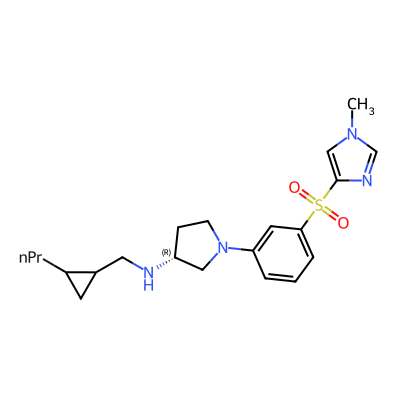 CCCC1CC1CN[C@@H]1CCN(c2cccc(S(=O)(=O)c3cn(C)cn3)c2)C1